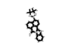 CC1(C)OB(c2ccc3c4c2cccc4c(=O)n2c4ccccc4nc32)OC1(C)C